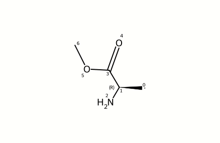 [CH2][C@@H](N)C(=O)OC